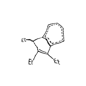 CC[C]1C(CC)=C(CC)c2ccccc21